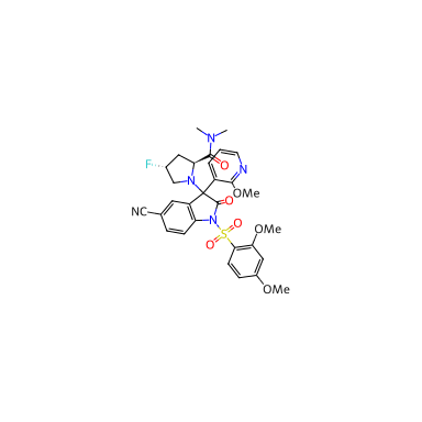 COc1ccc(S(=O)(=O)N2C(=O)C(c3cccnc3OC)(N3C[C@H](F)C[C@H]3C(=O)N(C)C)c3cc(C#N)ccc32)c(OC)c1